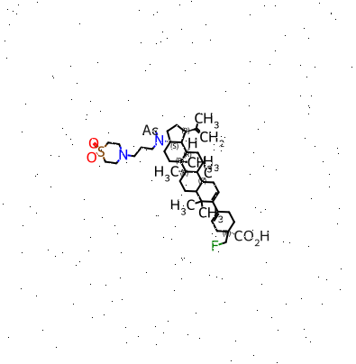 C=C(C)[C@@H]1CC[C@]2(N(CCCN3CCS(=O)(=O)CC3)C(C)=O)CC[C@]3(C)[C@H](CCC4[C@@]5(C)CC=C(C6=CC[C@@](CF)(C(=O)O)CC6)C(C)(C)C5CC[C@]43C)C12